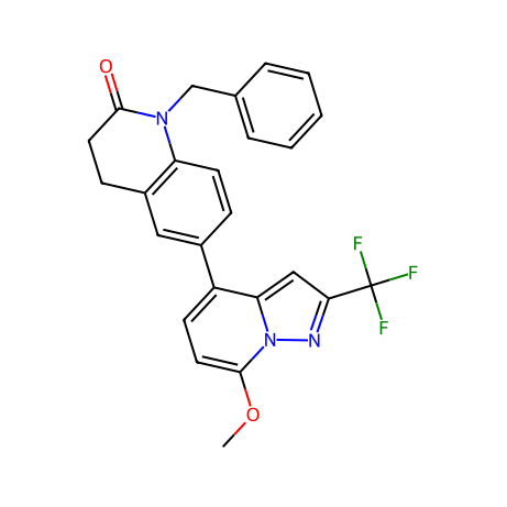 COc1ccc(-c2ccc3c(c2)CCC(=O)N3Cc2ccccc2)c2cc(C(F)(F)F)nn12